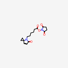 O=C(CCCCCN1C(=O)C=CC12CC2)ON1C(=O)CCC1=O